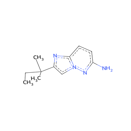 CCC(C)(C)c1cn2nc(N)ccc2n1